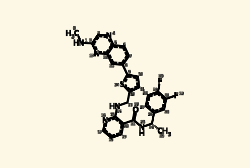 CNc1cnc2ccc(-c3ccc(CNc4ncccc4C(=O)N[C@@H](C)c4ccc(F)c(F)c4)s3)cc2n1